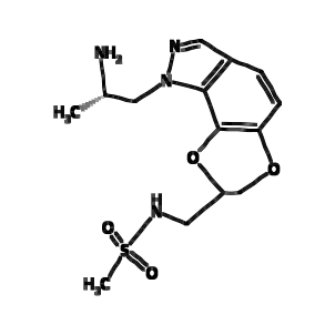 C[C@H](N)Cn1ncc2ccc3c(c21)OC(CNS(C)(=O)=O)CO3